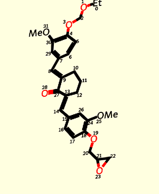 CCOCOc1ccc(/C=C2\CCC/C(=C\c3ccc(OCC4CO4)c(OC)c3)C2=O)cc1OC